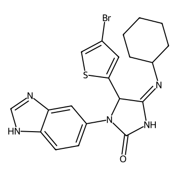 O=C1N/C(=N/C2CCCCC2)C(c2cc(Br)cs2)N1c1ccc2[nH]cnc2c1